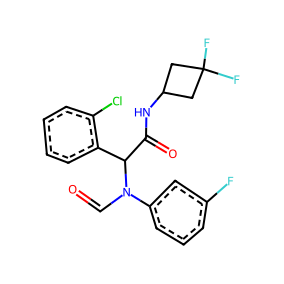 O=CN(c1cccc(F)c1)C(C(=O)NC1CC(F)(F)C1)c1ccccc1Cl